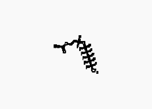 CCC(C)C(=O)OCCC(F)(F)OC(F)(F)C(F)(F)C(F)(F)C(F)(F)C(F)(F)C(F)(F)F